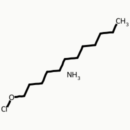 CCCCCCCCCCCCOCl.N